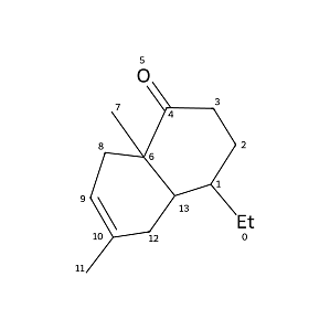 CCC1CCC(=O)C2(C)CC=C(C)CC12